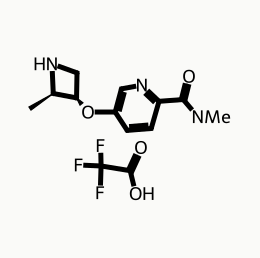 CNC(=O)c1ccc(O[C@@H]2CN[C@@H]2C)cn1.O=C(O)C(F)(F)F